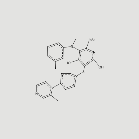 CCCCc1nc(O)c(Sc2ccc(-c3ccncc3C)cc2)c(O)c1N(C)c1cccc(C)c1